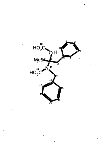 CSC(Cc1ccccc1)(NC(=O)O)N(Cc1ccccc1)C(=O)O